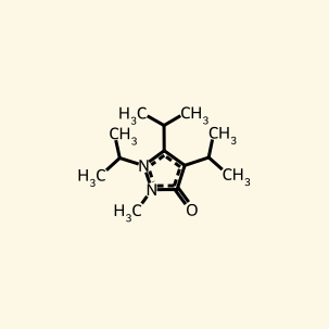 CC(C)c1c(C(C)C)n(C(C)C)n(C)c1=O